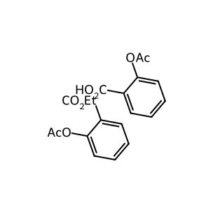 CC(=O)Oc1ccccc1C(=O)O.CCOC(=O)c1ccccc1OC(C)=O